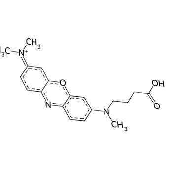 CN(CCCC(=O)O)c1ccc2nc3ccc(=[N+](C)C)cc-3oc2c1